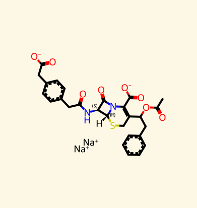 CC(=O)OC(Cc1ccccc1)C1=C(C(=O)[O-])N2C(=O)[C@H](NC(=O)Cc3ccc(CC(=O)[O-])cc3)[C@H]2SC1.[Na+].[Na+]